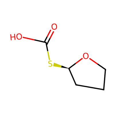 O=C(O)S[C@@H]1CCCO1